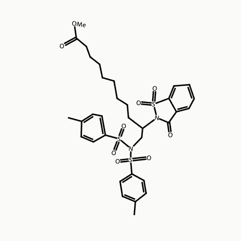 COC(=O)CCCCCCCCC(CN(S(=O)(=O)c1ccc(C)cc1)S(=O)(=O)c1ccc(C)cc1)N1C(=O)c2ccccc2S1(=O)=O